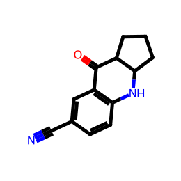 N#Cc1ccc2c(c1)C(=O)C1CCCC1N2